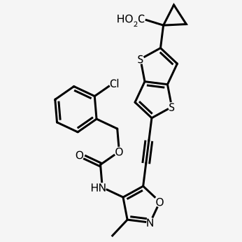 Cc1noc(C#Cc2cc3sc(C4(C(=O)O)CC4)cc3s2)c1NC(=O)OCc1ccccc1Cl